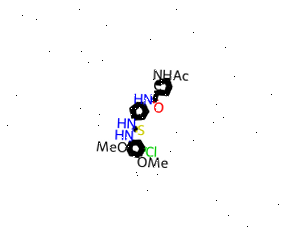 COc1cc(OC)c(NC(=S)Nc2ccc(NC(=O)c3cccc(NC(C)=O)c3)cc2)cc1Cl